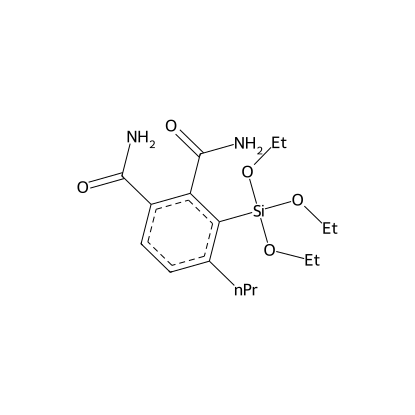 CCCc1ccc(C(N)=O)c(C(N)=O)c1[Si](OCC)(OCC)OCC